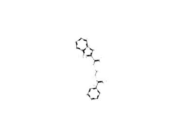 O=C(OCOC(=O)c1cc2ccccc2[nH]1)c1ccccc1